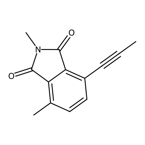 CC#Cc1ccc(C)c2c1C(=O)N(C)C2=O